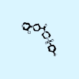 O=C(C1CCN(c2ccncc2Cl)CC1)N1CCN(S(=O)(=O)c2ccc(Br)cc2)CC1